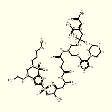 CCN[C@H]1CN(CCCOC)S(=O)(=O)c2sc(S(=O)(=O)NC(C)C(=O)CC(C)OC(=O)CCC(=O)O[C@@H](CNC(C)(C)C/C(=C/C(=O)O)C(=O)O)COc3nsnc3N3CCOCC3)cc21